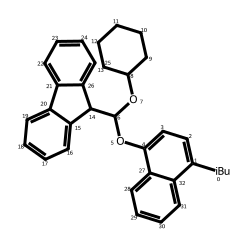 CCC(C)c1ccc(OC(OC2CCCCC2)C2c3ccccc3-c3ccccc32)c2ccccc12